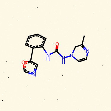 CC1=NC=CN(NC(=O)Nc2ccccc2-c2cnco2)C1